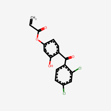 C=CC(=O)Oc1ccc(C(=O)c2ccc(Cl)cc2Cl)c(O)c1